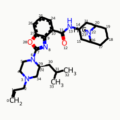 C=CCN1CCN(c2nc3c(C(=O)NC4CC5CCCC(C4)N5C)cccc3o2)[C@@H](CC(C)C)C1